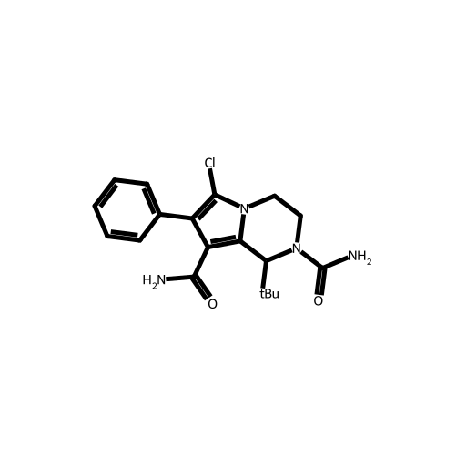 CC(C)(C)C1c2c(C(N)=O)c(-c3ccccc3)c(Cl)n2CCN1C(N)=O